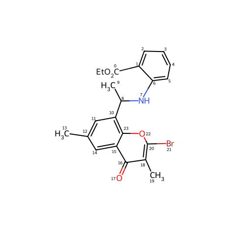 CCOC(=O)c1ccccc1NC(C)c1cc(C)cc2c(=O)c(C)c(Br)oc12